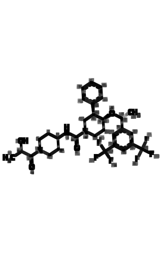 CC(O)C(=O)N1CCC(NC(=O)N2CC[C@H](O[C@H](C)c3cc(C(F)(F)F)cc(C(F)(F)F)c3)[C@H](c3ccccc3)C2)CC1